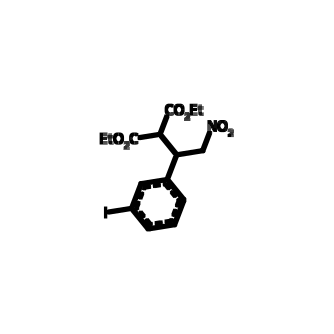 CCOC(=O)C(C(=O)OCC)C(C[N+](=O)[O-])c1cccc(I)c1